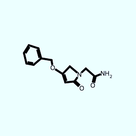 NC(=O)CN1CC(OCc2ccccc2)=CC1=O